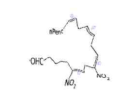 CCCCC/C=C\C/C=C\C/C=C(\C/C=C(\CCC[C]=O)[N+](=O)[O-])[N+](=O)[O-]